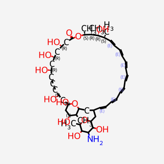 CC1OC(CC2/C=C/C=C/C=C/C=C/C=C/C=C/C=C/[C@H](C)[C@@H](O)[C@@H](C)[C@H](C)OC(=O)C[C@H](O)C[C@H](O)C[C@H](O)CCC[C@H](O)C[C@]3(O)C[C@H](O)C(C)C(C2)O3)C(O)C(N)C1O